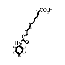 O=C(O)/C=C/CCCCCCOC(=O)Nc1ccccc1